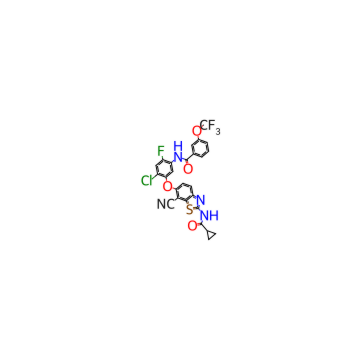 N#Cc1c(Oc2cc(NC(=O)c3cccc(OC(F)(F)F)c3)c(F)cc2Cl)ccc2nc(NC(=O)C3CC3)sc12